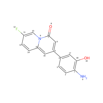 Nc1ccc(-c2cc(=O)n3cc(F)ccc3c2)cc1O